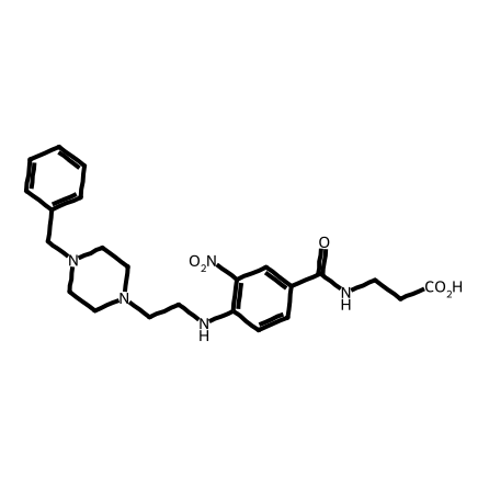 O=C(O)CCNC(=O)c1ccc(NCCN2CCN(Cc3ccccc3)CC2)c([N+](=O)[O-])c1